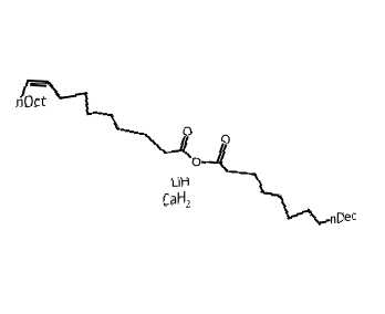 CCCCCCCC/C=C\CCCCCCCC(=O)OC(=O)CCCCCCCCCCCCCCCCC.[CaH2].[LiH]